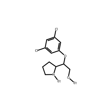 CCOCC(Oc1cc(Cl)cc(Cl)c1)C1CCCN1CC